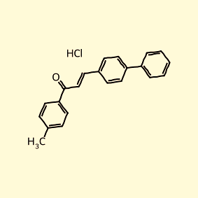 Cc1ccc(C(=O)C=Cc2ccc(-c3ccccc3)cc2)cc1.Cl